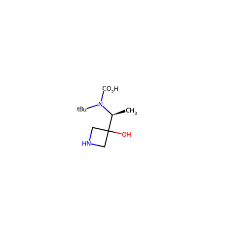 C[C@H](N(C(=O)O)C(C)(C)C)C1(O)CNC1